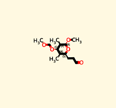 COCO[C@@H]1[C@@H](C)[C@H](OC)O[C@@H](CCC=O)[C@H]1C